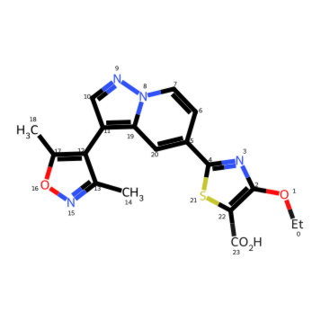 CCOc1nc(-c2ccn3ncc(-c4c(C)noc4C)c3c2)sc1C(=O)O